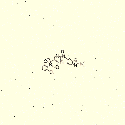 CN(C)c1nc2ccc(Nc3ncc4c(n3)OCN(c3c(Cl)cccc3Cl)C4=O)cc2s1